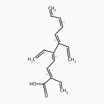 C=C\C=C/C=C(C=C)/C(C=C)=C/C=C(\C=C)C(=O)O